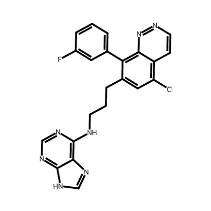 Fc1cccc(-c2c(CCCNc3ncnc4[nH]cnc34)cc(Cl)c3ccnnc23)c1